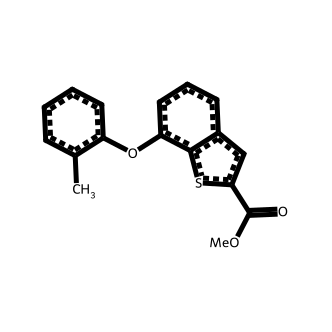 COC(=O)c1cc2cccc(Oc3ccccc3C)c2s1